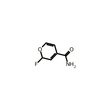 NC(=O)C1=CC(F)OC=C1